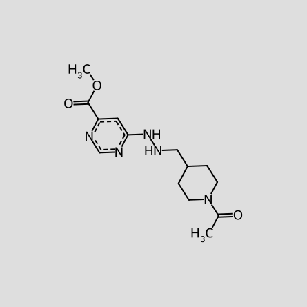 COC(=O)c1cc(NNCC2CCN(C(C)=O)CC2)ncn1